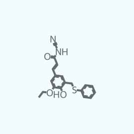 CCOc1cc(C=CC(=O)NC#N)cc(CSc2ccccc2)c1O